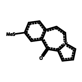 CSc1ccc2ccn3cccc3c(=O)c2c1